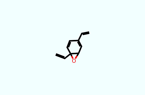 C=CC1=CC2OC2(C=C)C=C1